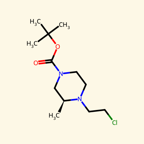 C[C@H]1CN(C(=O)OC(C)(C)C)CCN1CCCl